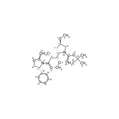 CO[C@@H]1C[C@@H]([C@H](OC)[C@@H](C)C(=O)N2C(=O)OC[C@H]2c2ccccc2)N(C(=O)OC(C)(C)C)C1